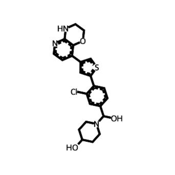 OC1CCN(C(O)c2ccc(-c3cc(-c4ccnc5c4OCCN5)cs3)c(Cl)c2)CC1